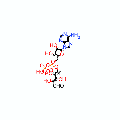 C[C@@H](OP(=O)(OC[C@H]1O[C@@H](n2cnc3c(N)ncnc32)[C@H](O)[C@@H]1O)OP(=O)(O)O)[C@H](O)[C@H](O)[C@@H](O)C=O